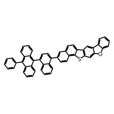 c1ccc(-c2c3ccccc3c(-c3ccc(-c4ccc5c(ccc6c7cc8c(cc7sc56)oc5ccccc58)c4)c4ccccc34)c3ccccc23)cc1